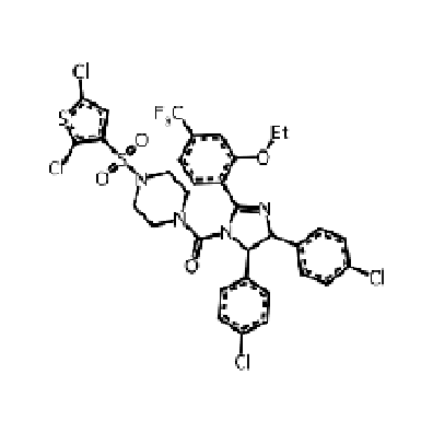 CCOc1cc(C(F)(F)F)ccc1C1=NC(c2ccc(Cl)cc2)C(c2ccc(Cl)cc2)N1C(=O)N1CCN(S(=O)(=O)c2cc(Cl)sc2Cl)CC1